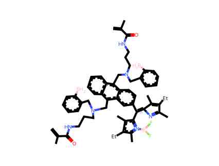 Bc1ccccc1CN(CCCNC(=O)C(=C)C)Cc1c2ccccc2c(CN(CCCNC(=O)C(=C)C)Cc2ccccc2B)c2cc(/C(=C3/N=C(C)C(CC)=C3C)c3c(C)c(CC)c(C)n3B(F)F)ccc12